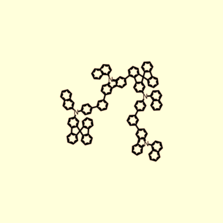 c1cc(-c2ccc(N(c3ccc4c(c3)C3(c5ccccc5-c5ccccc53)c3cccc(-c5ccc6c7cc(-c8cccc(-c9ccc(N(c%10ccc%11c(c%10)C%10(c%12ccccc%12-c%12ccccc%12%10)c%10ccccc%10-%11)c%10ccc%11ccccc%11c%10)cc9)c8)ccc7n(-c7cccc8ccccc78)c6c5)c3-4)c3cccc4ccccc34)cc2)cc(-c2ccc3c(c2)c2ccccc2n3-c2cccc3ccccc23)c1